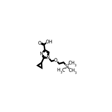 C[Si](C)(C)CCOCn1cc(C(=O)O)nc1C1CC1